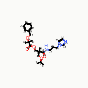 CC(C)OCC(C)(COC(=O)C(C)(C)OCc1ccccc1)C(=O)NCCCn1ccnc1